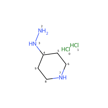 Cl.Cl.NNC1CCNCC1